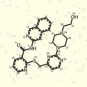 O=C(Nc1cc2ccccc2cn1)c1cccnc1SCc1ccnc(N2CCN(CCO)CC2)n1